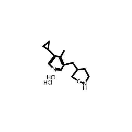 Cc1c(CC2CCNCC2)cncc1C1CC1.Cl.Cl